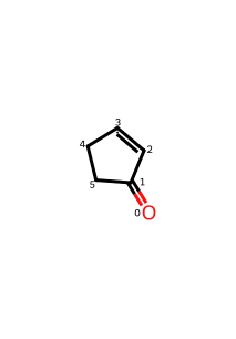 O=C1C=[C]CC1